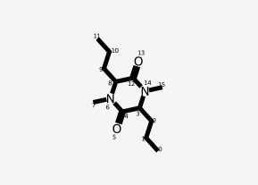 CCCC1C(=O)N(C)C(CCC)C(=O)N1C